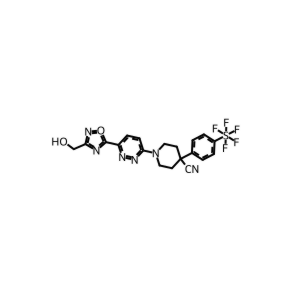 N#CC1(c2ccc(S(F)(F)(F)(F)F)cc2)CCN(c2ccc(-c3nc(CO)no3)nn2)CC1